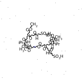 C=CCOC(=O)CCN(CCC(=O)N[C@H](C(=O)N[C@@H](C)C(=O)OC/C=C/COC(=O)CCN(CCC(=O)N[C@H](C(=O)N[C@@H](C)C(=O)OC(C)(C)C)C(C)C)C(=O)CCC(=O)NCCS(=O)(=O)O)C(C)C)C(=O)CCC(=O)NCCS(=O)(=O)O